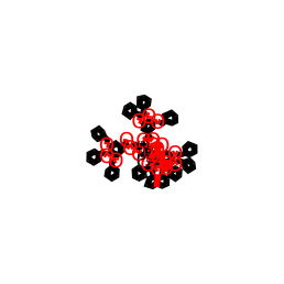 CC(=O)O[C@@H]1OC(COC(=O)c2cc(OCc3ccccc3)c(OCc3ccccc3)c(OCc3ccccc3)c2)[C@@H](OC(=O)c2cc(OCc3ccccc3)c(OCc3ccccc3)c(OCc3ccccc3)c2)C(OC(=O)c2cc(OCc3ccccc3)c(OCc3ccccc3)c(OCc3ccccc3)c2)[C@H]1OC(=O)c1cc(OCc2ccccc2)c(OCc2ccccc2)c(OCc2ccccc2)c1